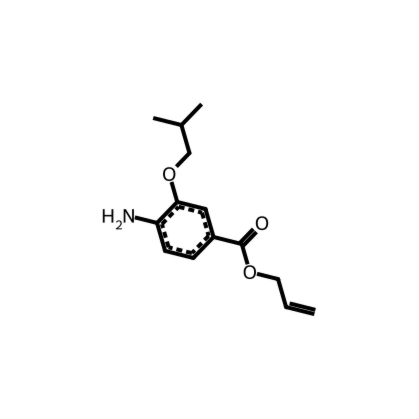 C=CCOC(=O)c1ccc(N)c(OCC(C)C)c1